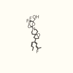 CC\C=C/C(=C\C=C(/C)F)C1COC2(CCN(C(=O)O[C@H](CO)C(F)(F)F)CC2)C1